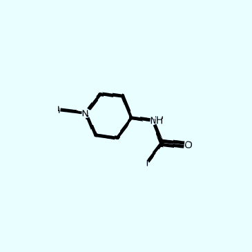 O=C(I)NC1CCN(I)CC1